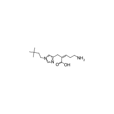 CC(C)(C)CCn1cnc(C/C(=C/CCN)C(=O)O)c1